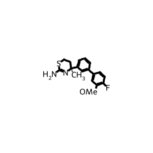 COc1cc(-c2cccc([C@]3(C)CCSC(N)=N3)c2)ccc1F